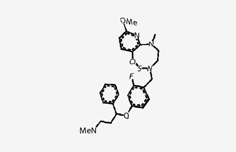 CNCCC(Oc1ccc(CN2CCN(C)c3nc(OC)ccc3OS2)c(F)c1)c1ccccc1